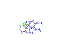 NCC1(C2(Cl)N=C(N)C(N)=CN2)CCCCC1